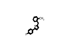 CC1=C(Cc2ccc(-c3ccc(F)cc3)s2)CCC=C1